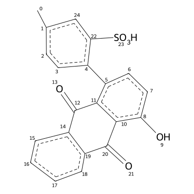 Cc1ccc(-c2ccc(O)c3c2C(=O)c2ccccc2C3=O)c(S(=O)(=O)O)c1